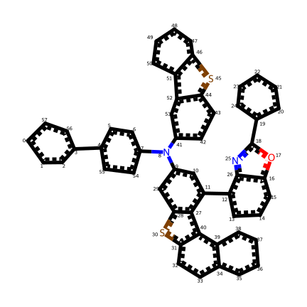 c1ccc(-c2ccc(N(c3cc(-c4cccc5oc(-c6ccccc6)nc45)c4c(c3)sc3ccc5ccccc5c34)c3ccc4sc5ccccc5c4c3)cc2)cc1